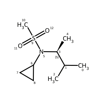 CC(C)[C@H](C)N(C1CC1)S(C)(=O)=O